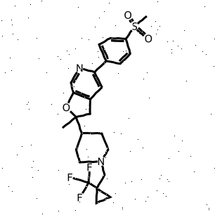 CC1(C2CCN(CC3(C(F)(F)F)CC3)CC2)Cc2cc(-c3ccc(S(C)(=O)=O)cc3)ncc2O1